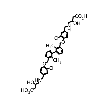 Cc1c(COc2ccc(CNCC(O)CC(=O)O)cc2Cl)cccc1-c1cccc(COc2ccc(CNCC(O)CC(=O)O)cc2Cl)c1C